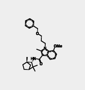 COc1cccc2c(C(=O)N[C@@H]3C(C)(C)C4CC[C@@]3(C)C4)c(C)n(CCCOCc3ccccc3)c12